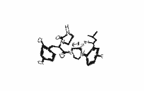 CC(C)CC(N)c1cc(F)ccc1N1CCN(C(=O)C(Cc2ccc(Cl)cc2Cl)N2CCNC2=O)CC1